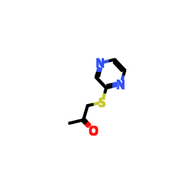 CC(=O)CSc1cnccn1